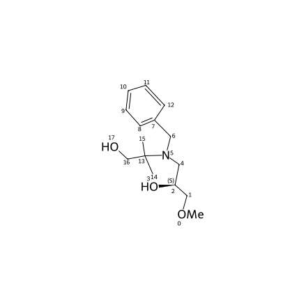 COC[C@@H](O)CN(Cc1ccccc1)C(C)(C)CO